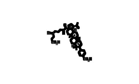 C=C(C)[C@@H]1CC[C@]2(C(=O)NCCCN(CC)CCC(=O)O)CC[C@]3(C)[C@H](CC[C@@H]4[C@@]5(C)CC=C(c6ccc(C(=O)O)cc6)C(C)(C)[C@@H]5CC[C@]43C)[C@@H]12